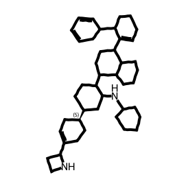 C1=CCC(C2CCCC=C2C2CCC(C3CCC([C@@H]4CC=C(C5CCN5)CC4)CC3NC3CCCCC3)C3CCCCC23)C=C1